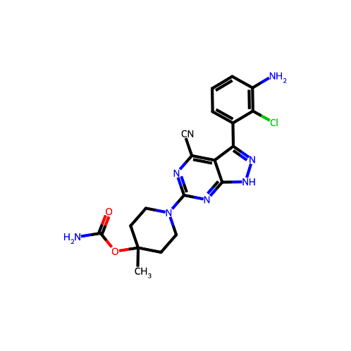 CC1(OC(N)=O)CCN(c2nc(C#N)c3c(-c4cccc(N)c4Cl)n[nH]c3n2)CC1